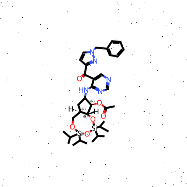 CC(=O)O[C@@H]1C(Nc2ncncc2C(=O)c2ccn(Cc3ccccc3)n2)C[C@@H]2CO[Si](C(C)C)(C(C)C)O[Si](C(C)C)(C(C)C)O[C@H]21